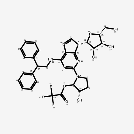 O=C(OC1[C@@H](O)CCN1c1nc(NCC(c2ccccc2)c2ccccc2)c2ncn([C@@H]3O[C@H](CO)[C@@H](O)[C@H]3O)c2n1)C(F)(F)F